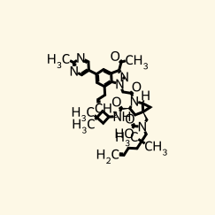 C=CCCC(C)(C)CN(C[C@@]12C[C@@H](C(=O)NC3CC(C)(C)C3)N(C(=O)Cn3nc(C(C)=O)c4cc(-c5cnc(C)nc5)cc(CC=C)c43)[C@@H]1C2)C(=O)O